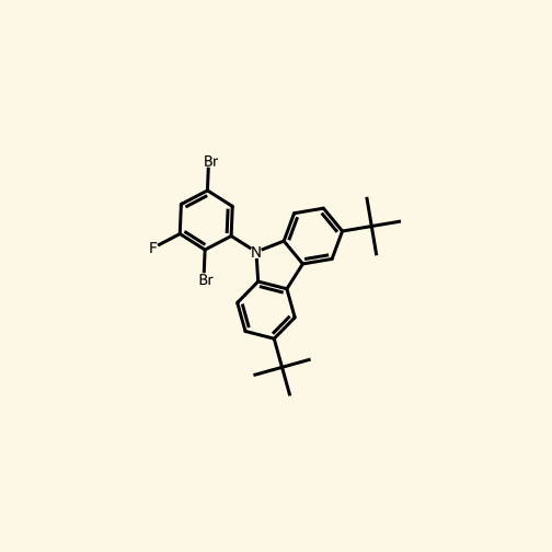 CC(C)(C)c1ccc2c(c1)c1cc(C(C)(C)C)ccc1n2-c1cc(Br)cc(F)c1Br